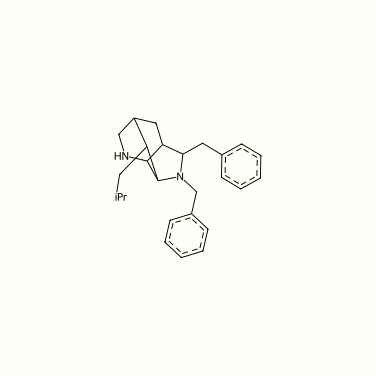 CC(C)CC1C2CNC3C(C2)C(Cc2ccccc2)N(Cc2ccccc2)C13